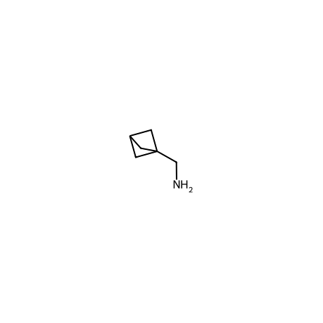 NCC12CC(C1)C2